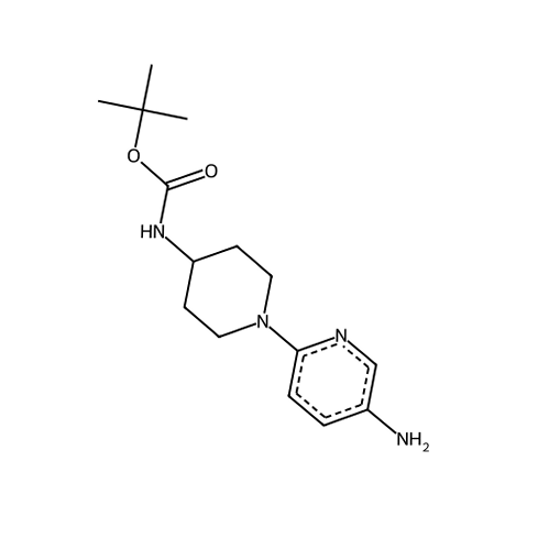 CC(C)(C)OC(=O)NC1CCN(c2ccc(N)cn2)CC1